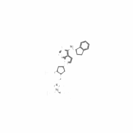 CN(c1ncnc2c1ccn2[C@@H]1C[C@@H](COS(=O)(=O)N(C(=O)O)C(C)(C)C)[C@@H](O)C1)[C@H]1CCc2ccccc21